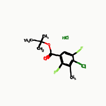 Cc1c(F)c(C(=O)OC(C)(C)C)cc(F)c1Cl.Cl